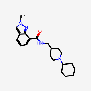 CC(C)n1cc2cccc(C(=O)NCC3CCN(C4CCCCC4)CC3)c2n1